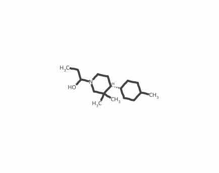 CCC(O)N1CC[C@H](C2CCC(C)CC2)C(C)(C)C1